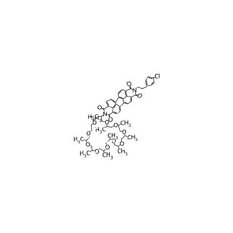 COCCOCC(C)OCC(C)OCC(C)OCC(C)OCC(C)OCC(C)OCC(C)OCC(C)OCC(C)N1C(=O)c2ccc3c4ccc5c6c(ccc(c7ccc(c2c37)C1=O)c64)C(=O)N(CCc1ccc(Cl)cc1)C5=O